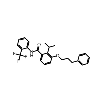 CC(C)c1c(OCCCc2ccccc2)cccc1C(=O)Nc1ccccc1C(F)(F)F